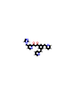 O=C(CC(=O)c1cc(Cn2ccnc2)ccn1)c1cc(Cc2ccccn2)cc(Cc2ccccn2)c1